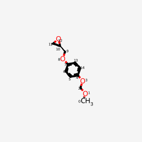 COCOc1ccc(OC[C@H]2CO2)cc1